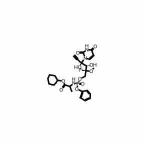 C#C[C@@](O)([C@H](O)[C@@](F)(COP(=O)(NC(C)C(=O)OC1CCCCC1)Oc1ccccc1)OC)n1ccc(=O)[nH]c1=O